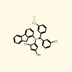 CCC1C=C(C(C)(C)C)C=[C]1[Zr+2](=[C](c1cccc(C(F)(F)F)c1)c1cccc(C(F)(F)F)c1)[c]1cccc2c1Cc1ccccc1-2.[Cl-].[Cl-]